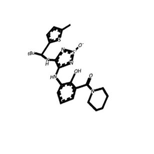 Cc1ccc(C(Nc2n[s+]([O-])nc2Nc2cccc(C(=O)N3CCCCC3)c2O)C(C)(C)C)s1